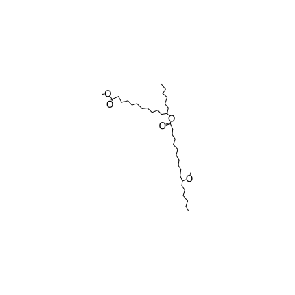 CCCCCCC(CCCCCCCCCCC(=O)OC(CCCCCC)CCCCCCCCCCC(=O)OC)OC